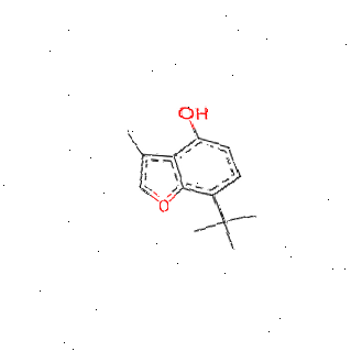 Cc1coc2c(C(C)(C)C)ccc(O)c12